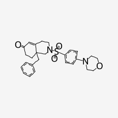 O=C1C=C2CCN(S(=O)(=O)c3ccc(N4CCOCC4)cc3)CC2(Cc2ccccc2)CC1